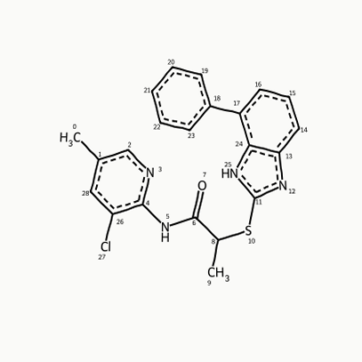 Cc1cnc(NC(=O)C(C)Sc2nc3cccc(-c4ccccc4)c3[nH]2)c(Cl)c1